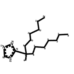 CCCCCCCC(C)(CCCCCC)c1nncs1